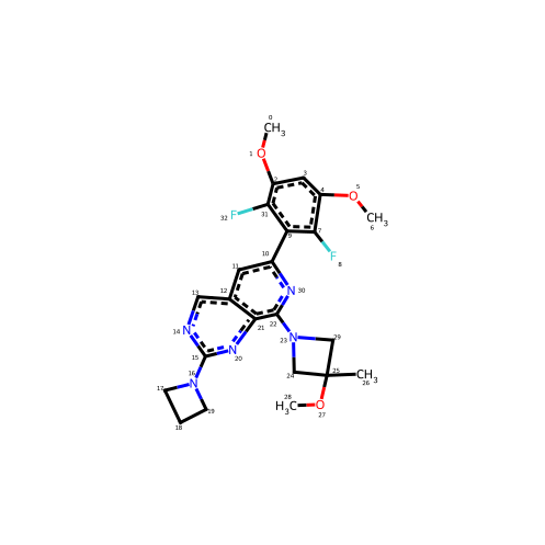 COc1cc(OC)c(F)c(-c2cc3cnc(N4CCC4)nc3c(N3CC(C)(OC)C3)n2)c1F